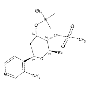 CC[C@H]1O[C@@H](c2ccncc2N)C[C@H](O[Si](C)(C)C(C)(C)C)[C@@H]1OS(=O)(=O)C(F)(F)F